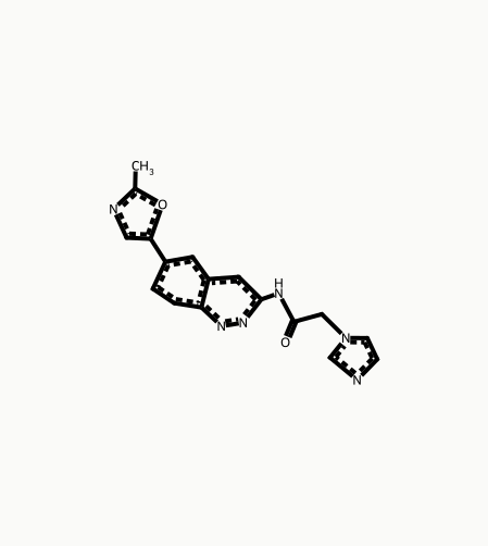 Cc1ncc(-c2ccc3nnc(NC(=O)Cn4ccnc4)cc3c2)o1